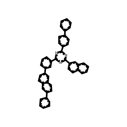 c1ccc(-c2ccc(-c3nc(-c4cccc(-c5ccc6cc(-c7ccccc7)ccc6c5)c4)nc(-c4ccc5ccccc5c4)n3)cc2)cc1